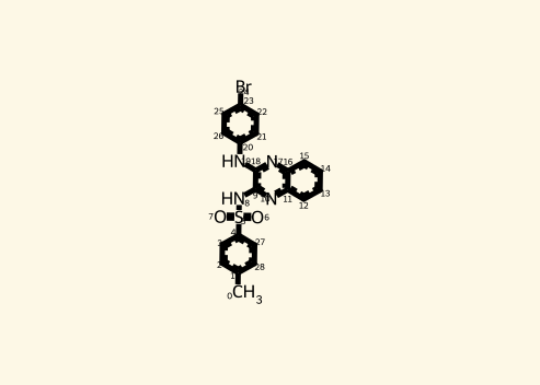 Cc1ccc(S(=O)(=O)Nc2nc3ccccc3nc2Nc2ccc(Br)cc2)cc1